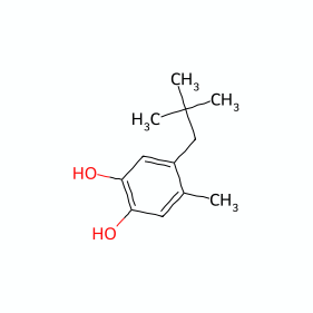 Cc1cc(O)c(O)cc1CC(C)(C)C